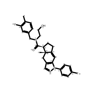 Cc1ccc(CN(CCO)C(=O)[C@H]2CCC3=Cc4c(cnn4-c4ccc(F)cc4)C[C@@]32C)cc1F